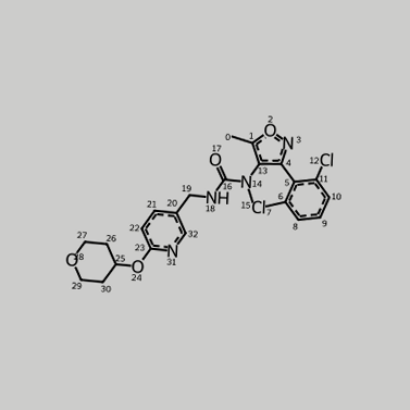 Cc1onc(-c2c(Cl)cccc2Cl)c1N(C)C(=O)NCc1ccc(OC2CCOCC2)nc1